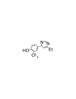 CCc1cc(-c2ccc(O)c(C(F)(F)F)c2)ncn1